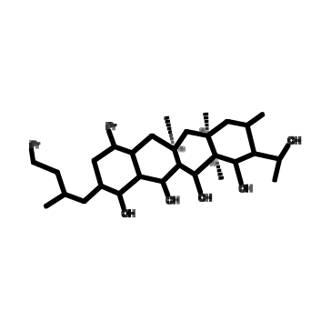 CC(C)CCC(C)CC1CC(C(C)C)C2C[C@@]3(C)C[C@@]4(C)CC(C)C(C(C)O)C(O)[C@@]4(C)C(O)C3C(O)C2C1O